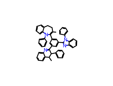 CC1=C(c2cc(C3=Nc4ccccc4C(C)C3c3ccccc3)cc(-c3nc4ccccc4n3-c3ccccc3)c2)N(c2ccccc2)c2ccccc2CC1